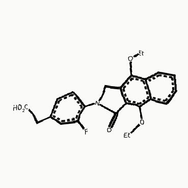 CCOc1c2c(c(OCC)c3ccccc13)C(=O)N(c1ccc(CC(=O)O)cc1F)C2